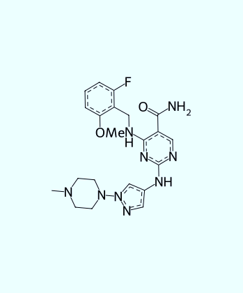 COc1cccc(F)c1CNc1nc(Nc2cnn(N3CCN(C)CC3)c2)ncc1C(N)=O